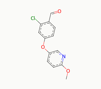 COc1ccc(Oc2ccc(C=O)c(Cl)c2)cn1